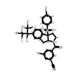 N#Cc1cc(F)cc(C(=O)N2CCC3(S(=O)(=O)c4ccc(F)cc4)c4ccc(C(F)(C(F)(F)F)C(F)(F)F)cc4CC23)c1